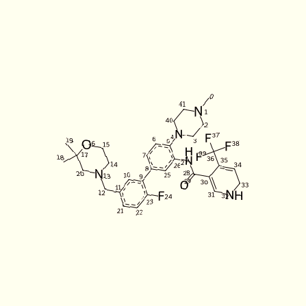 CN1CCN(c2ccc(-c3cc(CN4CCOC(C)(C)C4)ccc3F)cc2NC(=O)C2=CNCC=C2C(F)(F)F)CC1